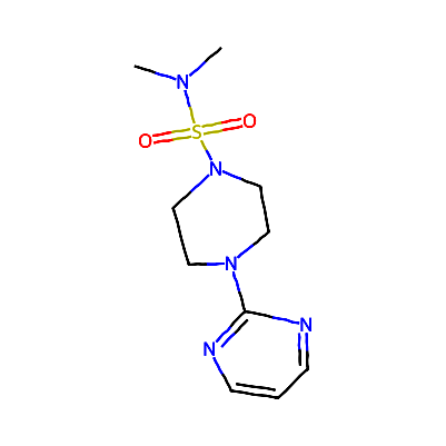 CN(C)S(=O)(=O)N1CCN(c2ncccn2)CC1